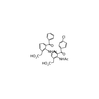 CC(=O)Nc1c(CC(=O)O)cccc1C(=O)c1ccc(Cl)cc1.CC(=O)Nc1c(CC(=O)O)cccc1C(=O)c1ccccc1